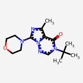 Cc1nc(N2CCOCC2)n2ncn(C(C)(C)C)c(=O)c12